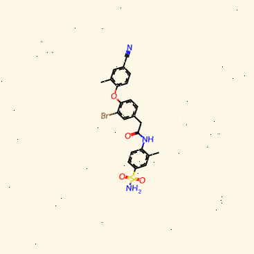 Cc1cc(S(N)(=O)=O)ccc1NC(=O)Cc1ccc(Oc2ccc(C#N)cc2C)c(Br)c1